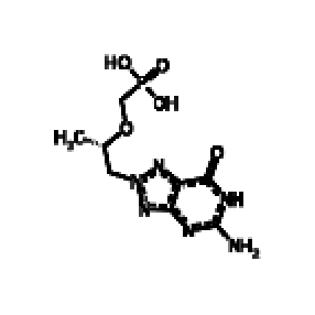 C[C@@H](Cn1nc2nc(N)[nH]c(=O)c2n1)OCP(=O)(O)O